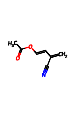 C=C(C#N)C=COC(C)=O